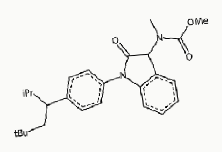 COC(=O)N(C)C1C(=O)N(c2ccc(C(CC(C)(C)C)C(C)C)cc2)c2ccccc21